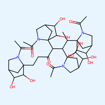 CC(=O)N1CC2CC1(CCC(=O)C(C(C(C)C13CC(CN1C(C)=O)C(O)C3O)C13CC(CN1C(C)=O)C(O)C3O)C13CC(CN1C(C)=O)C(O)C3O)C(O)C2O